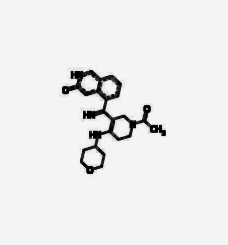 CC(=O)N1CCC(NC2CCOCC2)=C(C(=N)c2cccc3c[nH]c(=O)cc23)C1